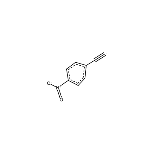 [C]#Cc1ccc([N+](=O)[O-])cc1